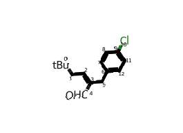 CC(C)(C)CC=C(C=O)Cc1ccc(Cl)cc1